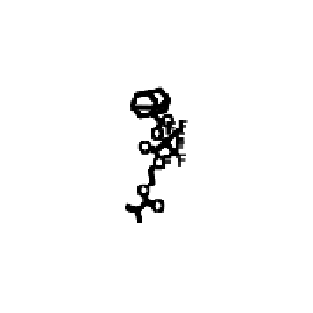 C=C(C)C(=O)OCCOC(=O)C(OC(=O)C12CC3CC(CC(C3)C1)C2)(C(F)(F)F)C(F)(F)F